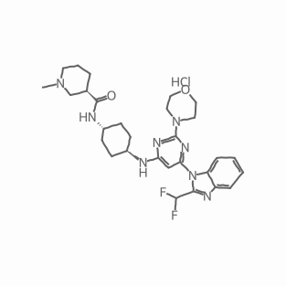 CN1CCC[C@@H](C(=O)N[C@H]2CC[C@H](Nc3cc(-n4c(C(F)F)nc5ccccc54)nc(N4CCOCC4)n3)CC2)C1.Cl